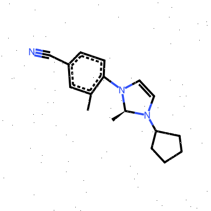 Cc1cc(C#N)ccc1N1C=CN(C2CCCC2)[C@H]1C